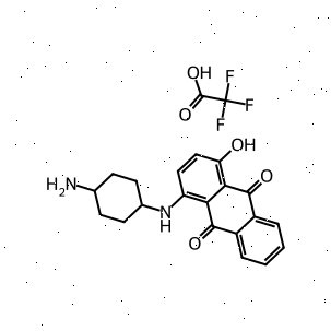 NC1CCC(Nc2ccc(O)c3c2C(=O)c2ccccc2C3=O)CC1.O=C(O)C(F)(F)F